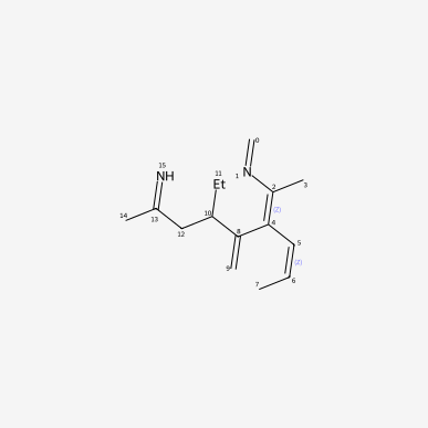 C=N/C(C)=C(/C=C\C)C(=C)C(CC)CC(C)=N